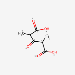 CC(C(=O)O)C(=O)C(C)C(=O)O